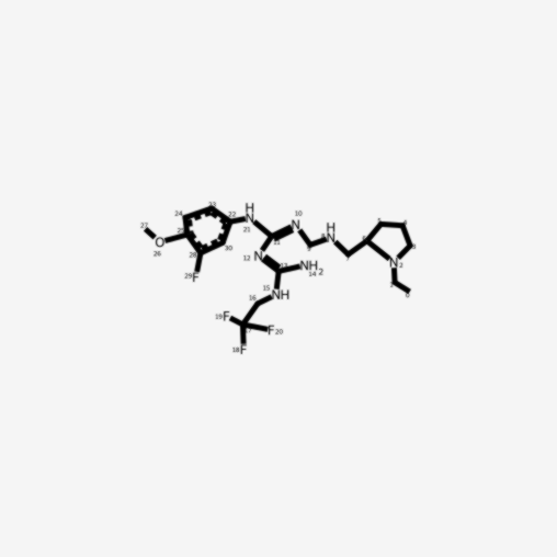 CCN1CCCC1CNC/N=C(\N=C(/N)NCC(F)(F)F)Nc1ccc(OC)c(F)c1